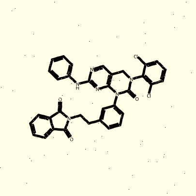 O=C1c2ccccc2C(=O)N1CCc1cccc(N2C(=O)N(c3c(Cl)cccc3Cl)Cc3cnc(Nc4ccccc4)nc32)c1